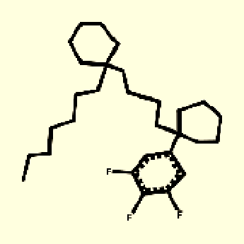 CCCCCCCC1(CCCCC2(c3cc(F)c(F)c(F)c3)CCCCC2)CCCCC1